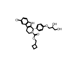 O=C(OCC1CCC1)N1CCc2c([nH]c3ccc(Cl)cc23)[C@@H]1c1ccc(OC[C@@H](O)CO)cc1